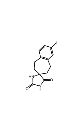 O=C1NC(=O)C2(CCc3ccc(I)cc3CC2)N1